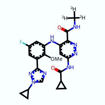 [2H]C([2H])([2H])NC(=O)c1nnc(NC(=O)C2CC2)cc1Nc1cc(F)cc(-c2ncn(C3CC3)n2)c1OC